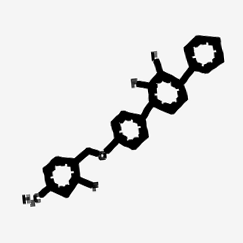 Cc1ccc(COc2ccc(-c3ccc(-c4ccccc4)c(F)c3F)cc2)c(F)c1